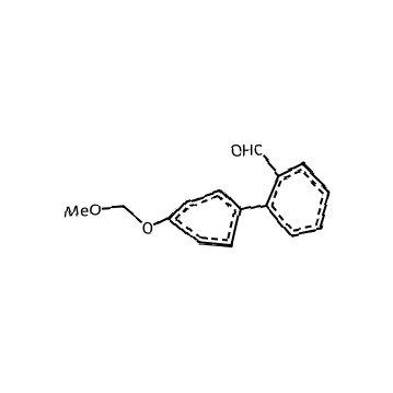 COCOc1ccc(-c2ccccc2C=O)cc1